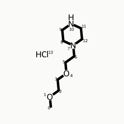 COCCOCCN1CCNCC1.Cl